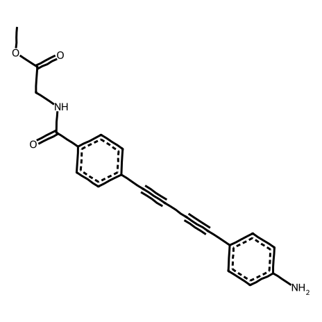 COC(=O)CNC(=O)c1ccc(C#CC#Cc2ccc(N)cc2)cc1